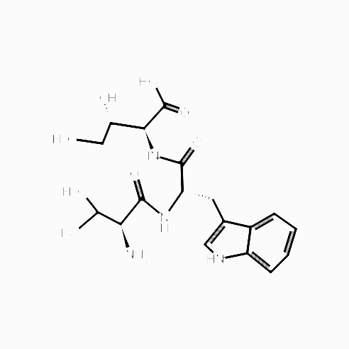 CC[C@H](C)[C@H](NC(=O)[C@H](Cc1c[nH]c2ccccc12)NC(=O)[C@@H](N)C(C)C)C(=O)O